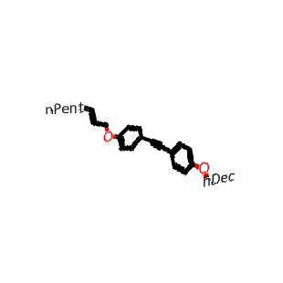 CCCCCC=CCOc1ccc(C#Cc2ccc(OCCCCCCCCCC)cc2)cc1